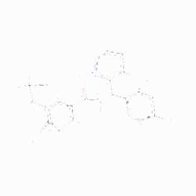 CC(C)(O)Cn1cc(C(=O)NC(c2ccc(C(F)(F)F)cc2)c2ncccc2F)ccc1=O